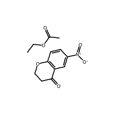 CCOC(C)=O.O=C1CCOc2ccc([N+](=O)[O-])cc21